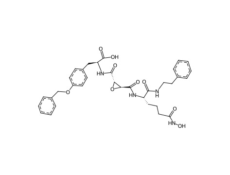 O=C(CCC[C@H](NC(=O)[C@H]1O[C@@H]1C(=O)N[C@@H](Cc1ccc(OCc2ccccc2)cc1)C(=O)O)C(=O)NCCc1ccccc1)NO